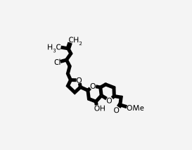 C=C(C)CC(Cl)CCC1CCC(C2CC(O)C3OC(CC(=O)OC)CCC3O2)O1